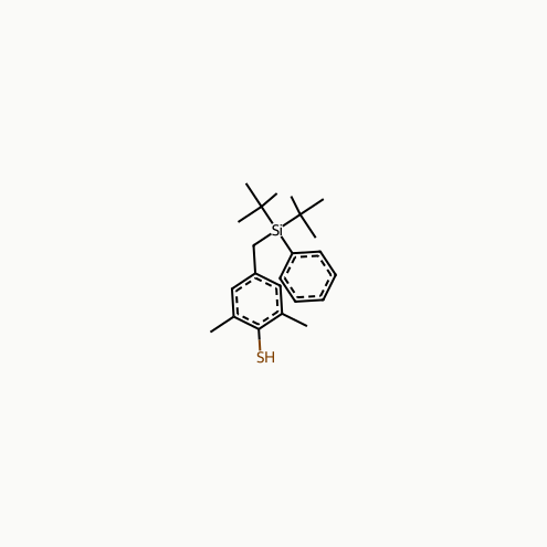 Cc1cc(C[Si](c2ccccc2)(C(C)(C)C)C(C)(C)C)cc(C)c1S